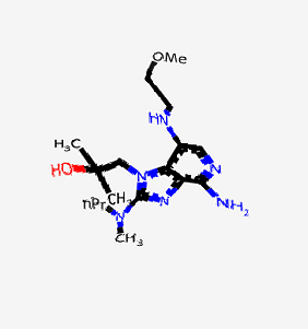 CCCN(C)c1nc2c(N)ncc(NCCOC)c2n1CC(C)(C)O